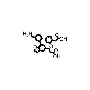 NCc1cccc(-c2cc(C(CC(=O)O)Oc3ccccc3CC(=O)O)cc3ccoc23)c1